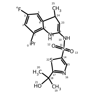 CC(C)c1cc(F)cc2c1NC(NS(=O)(=O)c1cnc(C(C)(C)O)s1)=CC2C